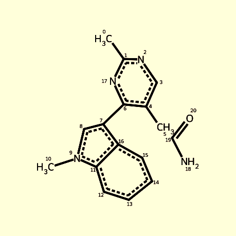 Cc1ncc(C)c(-c2cn(C)c3ccccc23)n1.NC=O